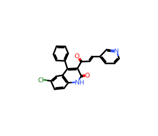 O=C(C=Cc1cccnc1)c1c(-c2ccccc2)c2cc(Cl)ccc2[nH]c1=O